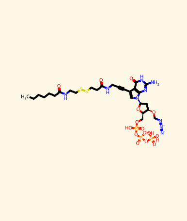 CCCCCCC(=O)NCCSSCCC(=O)NCC#Cc1cn([C@H]2C[C@@H](OCN=[N+]=[N-])[C@@H](COP(=O)(O)OP(=O)(O)OP(=O)(O)O)O2)c2nc(N)[nH]c(=O)c12